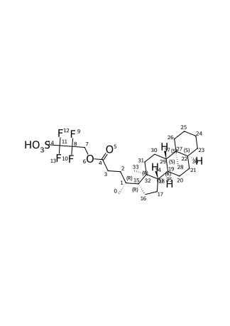 C[C@H](CCC(=O)OCC(F)(F)C(F)(F)S(=O)(=O)O)[C@H]1CC[C@H]2[C@@H]3CC[C@@H]4CCCC[C@]4(C)[C@H]3CC[C@]12C